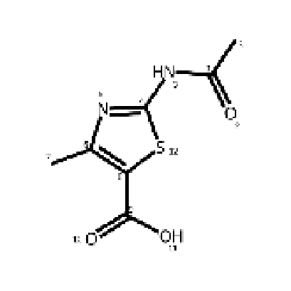 CC(=O)Nc1nc(C)c(C(=O)O)s1